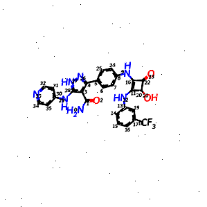 NC(=O)c1c(-c2ccc(NC3=C(Nc4cccc(C(F)(F)F)c4)C(O)C3=O)cc2)n[nH]c1Nc1ccncc1